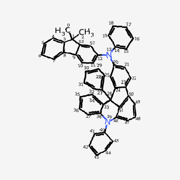 CC1(C)c2ccccc2-c2ccc(N(c3ccccc3)c3ccc4c(c3)C3(c5ccccc5)c5ccccc5N(c5ccccc5)c5cccc-4c53)cc21